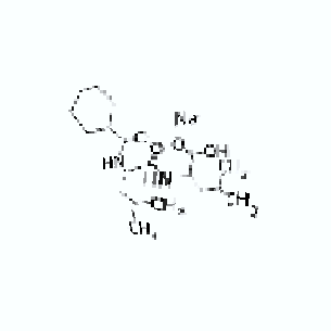 CC(C)C[C@H](NC(=O)[C@H](CC(C)C)NC(=O)C1CCCCC1)C(=O)O.[Na]